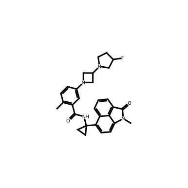 Cc1ccc(N2CC(N3CCC(F)C3)C2)cc1C(=O)NC1(c2ccc3c4c(cccc24)C(=O)N3C)CC1